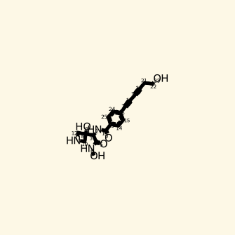 O=C(NC(C(=O)NO)C1(O)CNC1)c1ccc(C#CC#CCCO)cc1